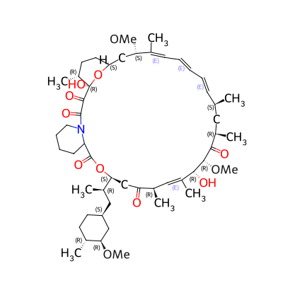 CO[C@H]1C[C@@H]2CC[C@@H](C)[C@@](O)(O2)C(=O)C(=O)N2CCCCC2C(=O)O[C@H]([C@H](C)C[C@@H]2CC[C@@H](C)[C@H](OC)C2)CC(=O)[C@H](C)/C=C(\C)[C@@H](O)[C@@H](OC)C(=O)[C@H](C)C[C@H](C)/C=C/C=C/C=C/1C